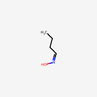 [CH2]CC/C=N\O